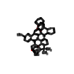 CC(C)(C)c1ccc(N2B3c4c(ccc5c4-c4ccccc4C5(C)C)N(c4ccccc4-c4ccccc4)c4c3c(cc3c4oc4ccccc43)-c3cc(C(C)(C)C)ccc32)cc1